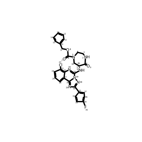 O=C1NCCN(C(=O)OCc2ccccc2)C[C@H]1Nc1nc2c(Cl)cccc2c2nc(-c3ccc(F)cc3)nn12